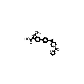 Cn1nc(C(=O)O)c2ccc(-c3ccc([C@H]4CC45CCN(C(=O)[C@H]4CCCO4)CC5)cc3)cc21